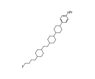 CCCc1ccc(C2CCC(C3CCC(CCC4CCC(CCCCF)CC4)CC3)CC2)cc1